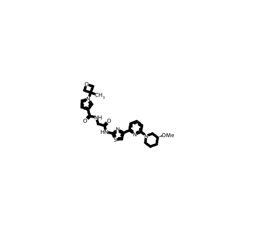 CO[C@@H]1CCCN(c2cccc(-c3csc(NC(=O)CNC(=O)c4ccn(C5(C)COC5)c4)n3)n2)C1